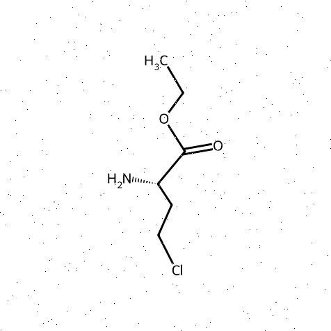 CCOC(=O)[C@@H](N)CCCl